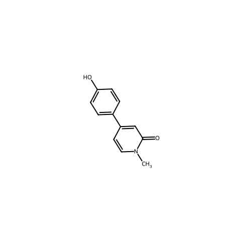 Cn1ccc(-c2ccc(O)cc2)cc1=O